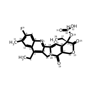 CCc1c2c(nc3cc(F)c(C)cc13)-c1cc3c(c(=O)n1C2)COC(=O)[C@@]3(CC)O[PH](=O)O